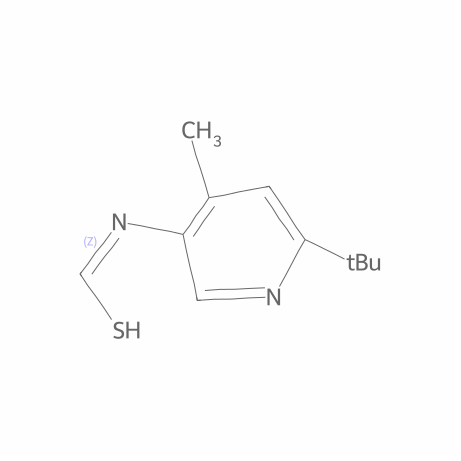 Cc1cc(C(C)(C)C)ncc1/N=C\S